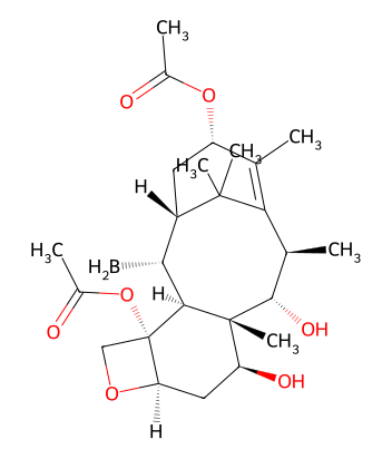 B[C@H]1[C@@H]2[C@]3(OC(C)=O)CO[C@@H]3C[C@H](O)[C@@]2(C)[C@@H](O)[C@H](C)C2=C(C)[C@@H](OC(C)=O)C[C@@H]1C2(C)C